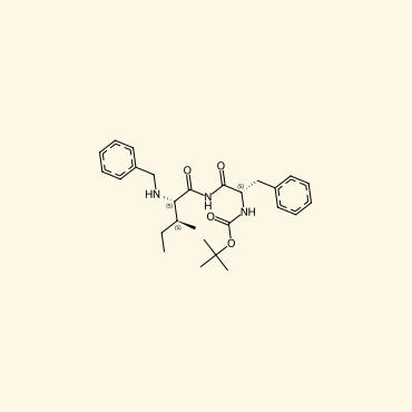 CC[C@H](C)[C@H](NCc1ccccc1)C(=O)NC(=O)[C@H](Cc1ccccc1)NC(=O)OC(C)(C)C